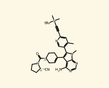 Cc1cc(C#C[Si](C)(C)C(C)(C)C)ncc1-c1c(C2=CC[C@@H](C(=O)N3CCC[C@H]3C#N)CC2)c2c(N)ncnc2n1C